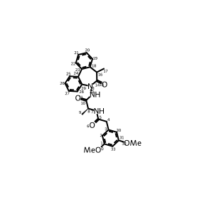 COc1cc(CC(=O)N[C@@H](C)C(=O)NN2C(=O)C(C)c3ccccc3-c3ccccc32)cc(OC)c1